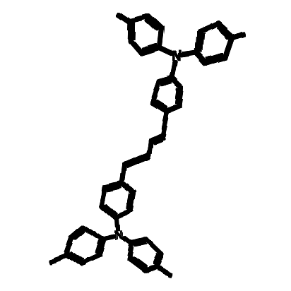 Cc1ccc(N(c2ccc(C)cc2)c2ccc(/C=C/C=C/c3ccc(N(c4ccc(C)cc4)c4ccc(C)cc4)cc3)cc2)cc1